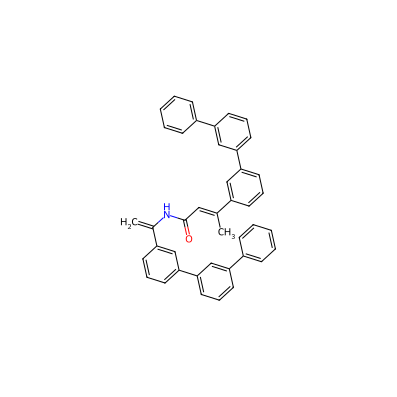 C=C(NC(=O)/C=C(\C)c1cccc(-c2cccc(-c3ccccc3)c2)c1)c1cccc(-c2cccc(-c3ccccc3)c2)c1